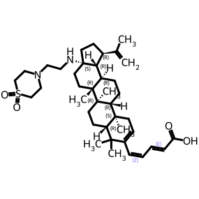 C=C(C)[C@@H]1CC[C@]2(NCCN3CCS(=O)(=O)CC3)CC[C@]3(C)[C@H](CC[C@@H]4[C@@]5(C)CC=C(/C=C\C=C\C(=O)O)C(C)(C)[C@@H]5CC[C@]43C)[C@@H]12